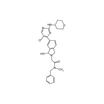 CN(Cc1ccccc1)C(=O)CN1Cc2ccc(-c3nc(NC4CCOCC4)ncc3Cl)cc2C1O